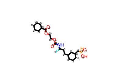 O=C(NC(F)CCC1CCCC(C[PH](=O)O)C1)OCCOC(=O)C1CCCCC1